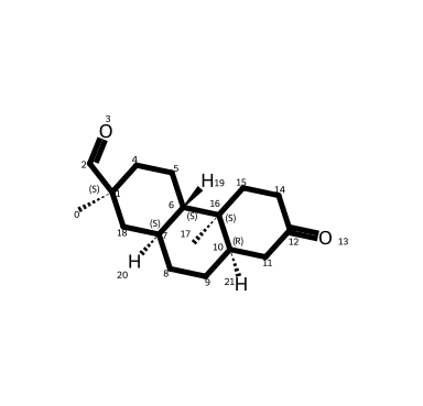 C[C@]1(C=O)CC[C@H]2[C@@H](CC[C@@H]3CC(=O)CC[C@@]32C)C1